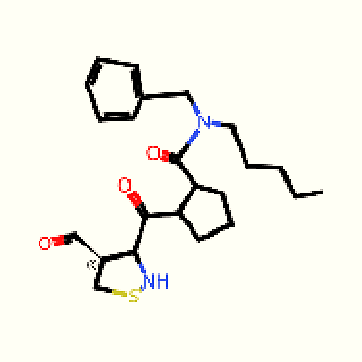 CCCCCN(Cc1ccccc1)C(=O)C1CCCC1C(=O)C1NSC[C@H]1C=O